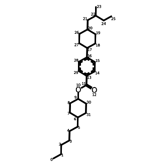 CCCCCCC1CCC(OC(=O)c2ccc(C3CCC(CC(C)CC)CC3)cc2)CC1